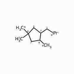 C[C](C)CC1CC(C)(C)CC1C